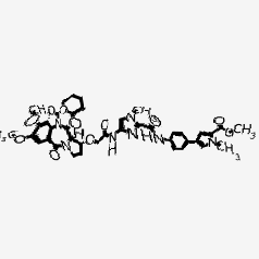 COC(=O)c1cc(-c2ccc(NC(=O)c3nc(NC(=O)CO[C@H]4CCN5C(=O)c6cc(OC)c(OC)cc6N(C=O)C(OC6CCCCO6)[C@H]45)cn3C)cc2)cn1C